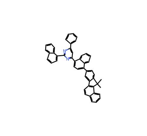 CC1(C)c2ccc(-c3ccc(-c4cc(-c5ccccc5)nc(-c5cccc6ccccc56)n4)c4ccccc34)cc2-c2ccc3ccccc3c21